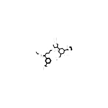 CCO/N=C(\CCC(=O)N[C@H]1CNCC1C1CC(COC)C(O)C(c2nccs2)C1)c1cccc(C(F)(F)F)c1